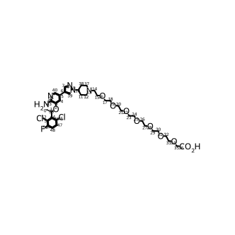 C[C@@H](Oc1cc(-c2cnn(C3CCN(CCOCCOCCOCCOCCOCCOCCOCC(=O)O)CC3)c2)cnc1N)c1c(Cl)ccc(F)c1Cl